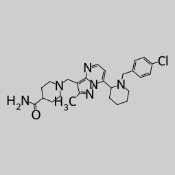 Cc1nn2c(C3CCCCN3Cc3ccc(Cl)cc3)ccnc2c1CN1CCC(C(N)=O)CC1